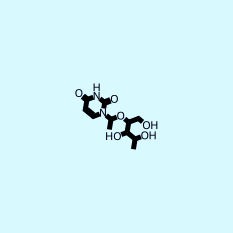 CC(O)C(O)C(CO)OC(C)n1ccc(=O)[nH]c1=O